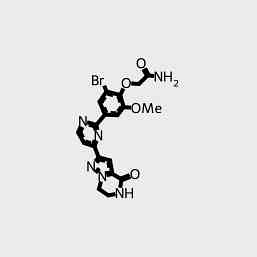 COc1cc(-c2nccc(-c3cc4n(n3)CCNC4=O)n2)cc(Br)c1OCC(N)=O